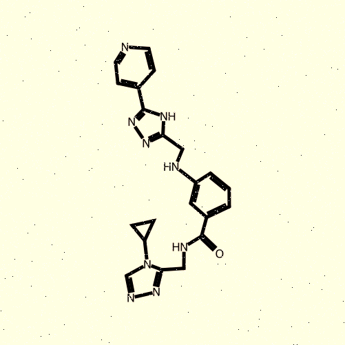 O=C(NCc1nncn1C1CC1)c1cccc(NCc2nnc(-c3ccncc3)[nH]2)c1